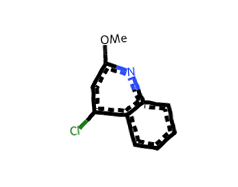 [CH2-][OH+]c1cc(Cl)c2ccccc2n1